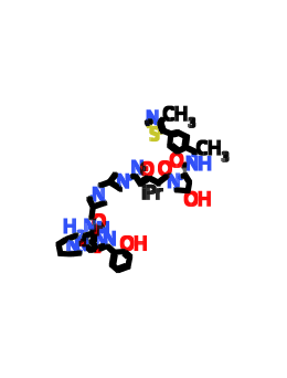 Cc1ncsc1-c1ccc([C@H](C)NC(=O)[C@@H]2C[C@@H](O)CN2C(=O)[C@H](c2cc(N3CC(CN4CC(COc5cc(N6C7CCC6CN(c6cc(-c8ccccc8O)nnc6N)C7)ccn5)C4)C3)no2)C(C)C)cc1